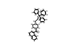 O=C(c1cccc2ccccc12)N1CCN(CCSC(c2ccccc2)(c2ccccc2)c2ccccc2)CC1